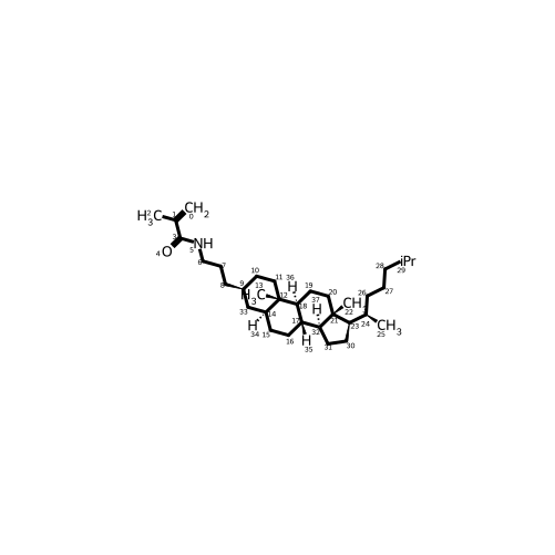 C=C(C)C(=O)NCCC[C@H]1CC[C@@]2(C)[C@@H](CC[C@@H]3[C@@H]2CC[C@]2(C)[C@@H]([C@H](C)CCCC(C)C)CC[C@@H]32)C1